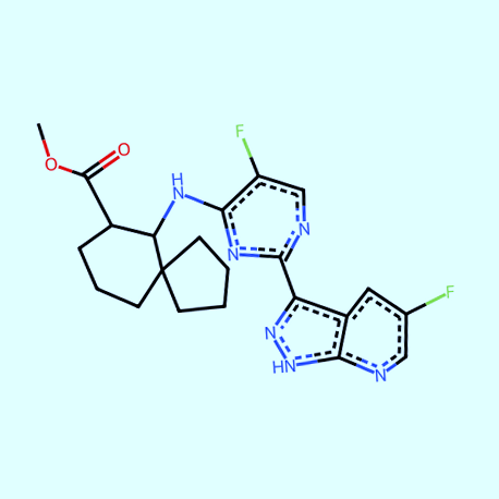 COC(=O)C1CCCC2(CCCC2)C1Nc1nc(-c2n[nH]c3ncc(F)cc23)ncc1F